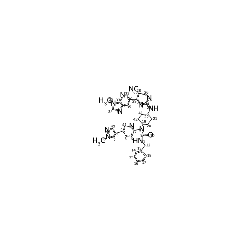 Cn1cc(-c2ccc(N(C(=O)NCc3ccccc3)C3CCC(Nc4ncc(C#N)c(-c5cnc6c(c5)ncn6C)n4)CC3)nc2)cn1